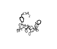 C=Cc1ccc(C(=O)NC(CCC)C(=O)N2CCC3C2C(=O)CN3S(=O)(=O)Cc2ccccn2)cc1